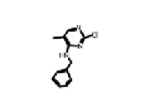 Cc1[c]nc(Cl)nc1NCc1ccccc1